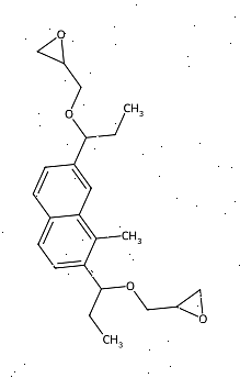 CCC(OCC1CO1)c1ccc2ccc(C(CC)OCC3CO3)c(C)c2c1